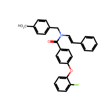 O=C(O)c1ccc(CN(C=Cc2ccccc2)C(=O)c2ccc(Oc3ccccc3F)cc2)cc1